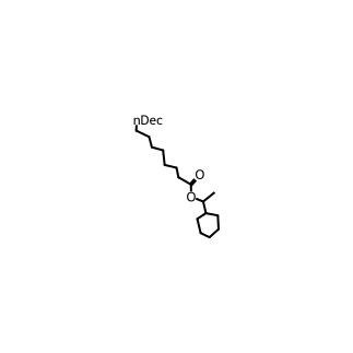 CCCCCCCCCCCCCCCCCC(=O)OC(C)C1CCCCC1